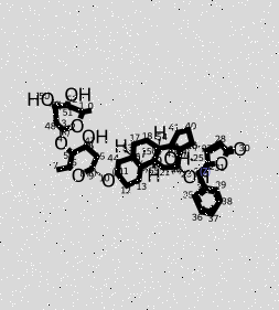 CC1O[C@H](OC2C(C)O[C@@H](O[C@H]3CC[C@@]4(C)[C@H](CC[C@@H]5[C@@H]4C[C@@H](O)[C@]4(C)[C@@H](C6=CC(=O)O/C6=C\c6ccccc6)CC[C@]54O)C3)C[C@H]2O)C[C@@H](O)C1O